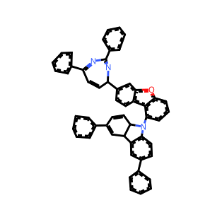 C1=CC2C(C=C1c1ccccc1)c1cc(-c3ccccc3)ccc1N2c1cccc2oc3cc(C4C=CC(c5ccccc5)=NC(c5ccccc5)=N4)ccc3c12